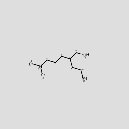 CCN(CC)CCCC(CO)CCS